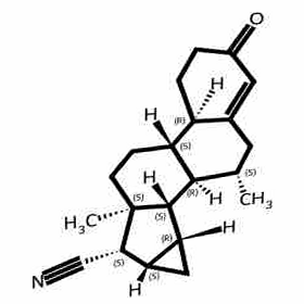 C[C@H]1CC2=CC(=O)CC[C@@H]2[C@H]2CC[C@@]3(C)[C@@H]([C@@H]4C[C@@H]4[C@@H]3C#N)[C@@H]21